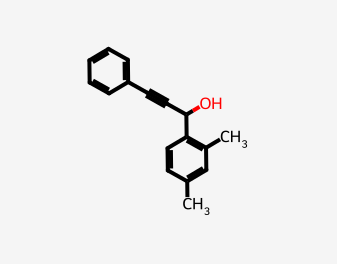 Cc1ccc(C(O)C#Cc2ccccc2)c(C)c1